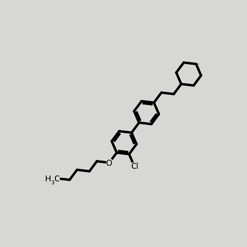 CCCCCOc1ccc(-c2ccc(CCC3CC[CH]CC3)cc2)cc1Cl